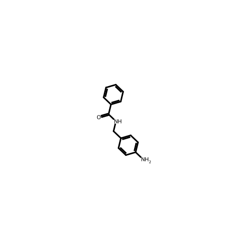 Nc1ccc(CNC(=O)c2ccccc2)cc1